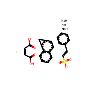 O=C(O)/C=C\C(=O)O.O=S(=O)(O)C=Cc1ccccc1.S.[NaH].[NaH].[NaH].c1ccc2c3c(ccc2c1)C3